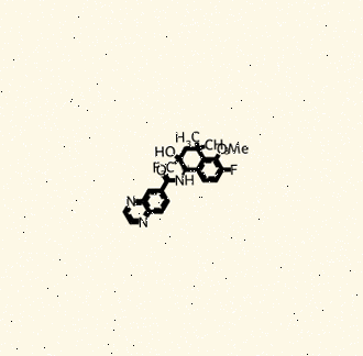 COc1c(F)ccc2c1C(C)(C)C[C@](O)(C(F)(F)F)[C@@H]2NC(=O)c1ccc2nccnc2c1